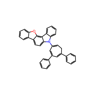 C1=C(c2ccccc2)C=C(c2ccccc2)CC=C1n1c2ccccc2c2c3oc4ccccc4c3ccc21